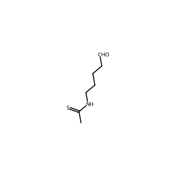 CC(=S)NCCCCC=O